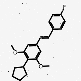 COc1cc(C=Cc2ccc(F)cc2)cc(OC)c1C1CCCC1